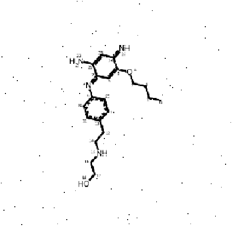 CCCCOC1=CC(=Nc2ccc(CCNCCO)cc2)C(N)=CC1=N